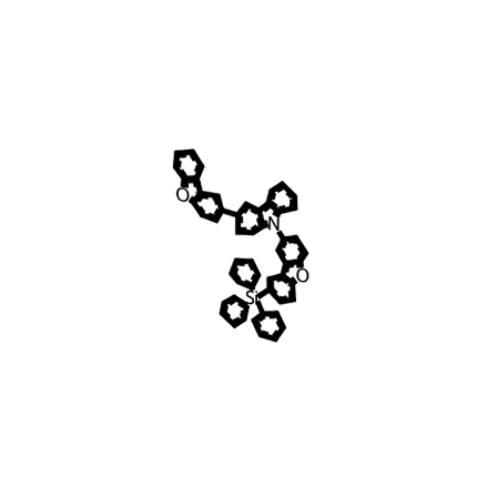 c1ccc([Si](c2ccccc2)(c2ccccc2)c2ccc3oc4ccc(-n5c6ccccc6c6cc(-c7ccc8oc9ccccc9c8c7)ccc65)cc4c3c2)cc1